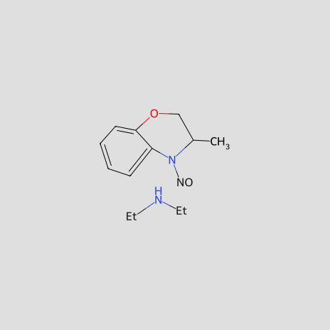 CC1COc2ccccc2N1N=O.CCNCC